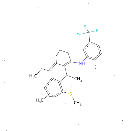 CC/C=C1\CCCC(Nc2cccc(C(F)(F)F)c2)=C1C(C)c1ccc(C)cc1SC